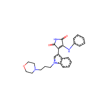 O=C1NC(=O)C(c2cn(CCCN3CCOCC3)c3ccccc23)=C1Nc1ccccc1